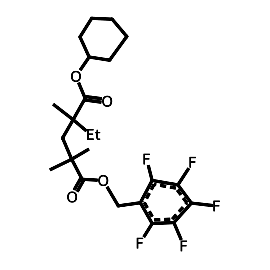 CCC(C)(CC(C)(C)C(=O)OCc1c(F)c(F)c(F)c(F)c1F)C(=O)OC1CCCCC1